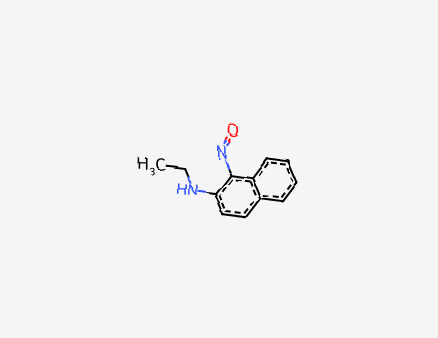 CCNc1ccc2ccccc2c1N=O